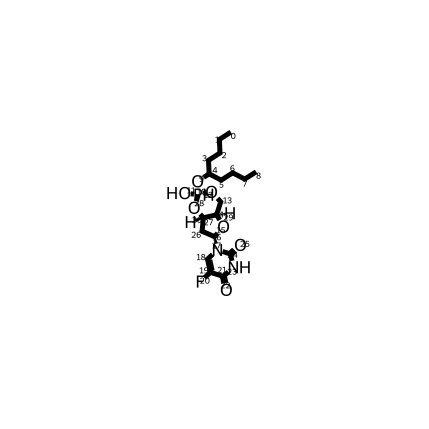 CCCCC(CCCC)O[PH]1(O)OC[C@H]2O[C@@H](n3cc(F)c(=O)[nH]c3=O)C[C@@H]2O1